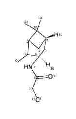 CC1C2C[C@@H](C[C@H]1NC(=O)CCl)C2(C)C